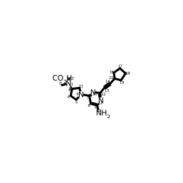 CN(C(=O)O)[C@@H]1CCN(c2cc(N)nc(C#CC3CCCC3)n2)C1